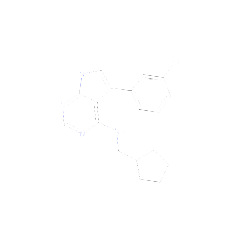 Clc1cccc(-c2c[nH]c3ncnc(NCC4CCCC4)c23)c1